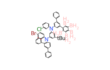 Bc1c(B)c(B)c(-c2cc(-c3ccccc3)cc(N(c3cccc(Cl)c3)c3cc(N(c4ccc(Br)cc4)c4ccc(-c5ccccc5)cc4-c4ccccc4)cc(C(C)(C)C)c3)c2)c(B)c1B